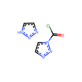 O=C(Cl)n1ccnn1.c1c[nH]nn1